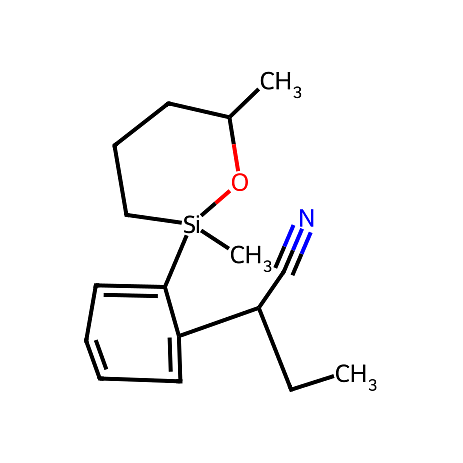 CCC(C#N)c1ccccc1[Si]1(C)CCCC(C)O1